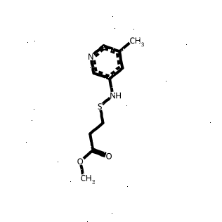 COC(=O)CCSNc1cncc(C)c1